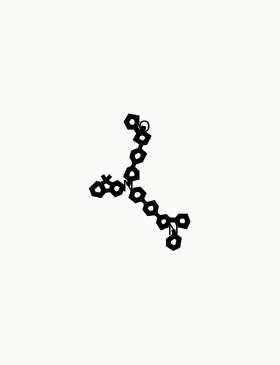 CC1(C)c2ccccc2-c2ccc(N(c3ccc(-c4ccc(-c5ccc6oc7ccccc7c6c5)cc4)cc3)c3ccc(-c4ccc(-c5ccc6c(c5)c5ccccc5n6-c5ccccc5)cc4)cc3)cc21